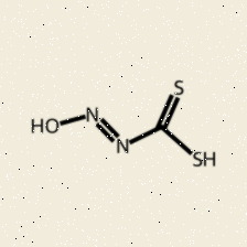 ON=NC(=S)S